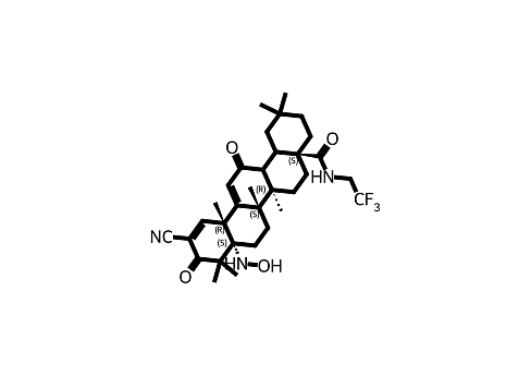 CC1(C)CC[C@]2(C(=O)NCC(F)(F)F)CC[C@]3(C)C(C(=O)C=C4[C@@]5(C)C=C(C#N)C(=O)C(C)(C)[C@]5(NO)CC[C@]43C)C2C1